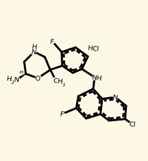 CC1(c2cc(Nc3cc(F)cc4cc(Cl)cnc34)ccc2F)CNC[C@H](N)O1.Cl